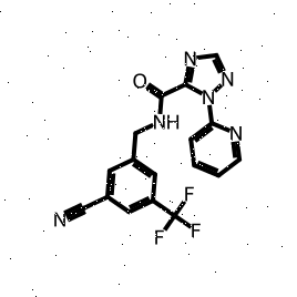 N#Cc1cc(CNC(=O)c2ncnn2-c2ccccn2)cc(C(F)(F)F)c1